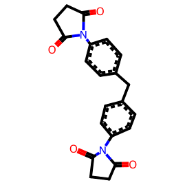 O=C1CCC(=O)N1c1ccc(Cc2ccc(N3C(=O)CCC3=O)cc2)cc1